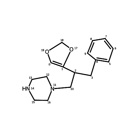 C1=C(C(Cc2ccccc2)CN2CCNCC2)OCO1